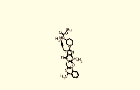 CC#CCn1c(N2CCCC(NC(=O)OC(C)(C)C)C2)nc2c1c(=O)n(Cc1nc(N)c3ccccc3n1)c(=O)n2C